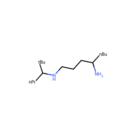 CCCCC(N)CCCNC(CCC)C(C)(C)C